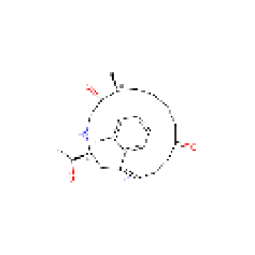 CC(=O)[C@@H]1C/C(c2ccccc2C)=C/CCC(=O)CCCC[C@H](C)C(=O)CN1